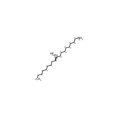 CCCCCCCCC=CCCCCCCCCN.F.F